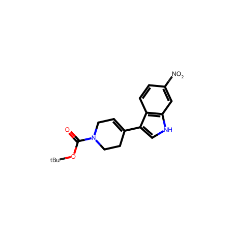 CC(C)(C)OC(=O)N1CC=C(c2c[nH]c3cc([N+](=O)[O-])ccc23)CC1